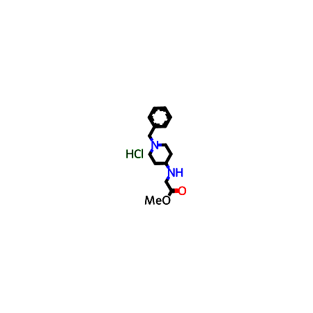 COC(=O)CNC1CCN(Cc2ccccc2)CC1.Cl